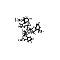 CC(NC(C)N(C(C)NC(C)c1ccccc1O)C(C)NC(C)c1ccccc1O)c1ccccc1O